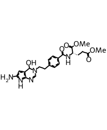 COC(=O)CC[C@H](NC(=O)c1ccc(CCN2C=Nc3[nH]c(N)cc3C2O)cc1)C(=O)OC